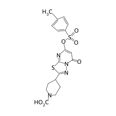 Cc1ccc(S(=O)(=O)Oc2cc(=O)n3nc(C4CCN(C(=O)O)CC4)sc3n2)cc1